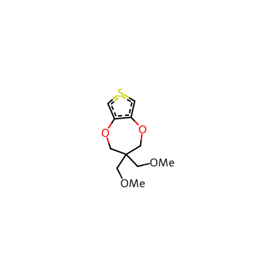 COCC1(COC)COc2cscc2OC1